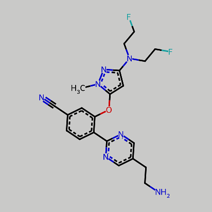 Cn1nc(N(CCF)CCF)cc1Oc1cc(C#N)ccc1-c1ncc(CCN)cn1